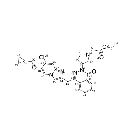 CCOC(=O)CN1CCC(n2nc(Cc3cn4cc(OCC5CC5)c(Cl)cc4n3)c3ccccc3c2=O)C1